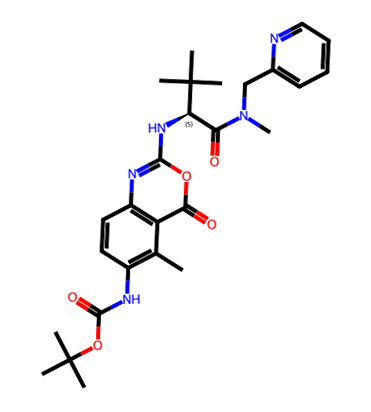 Cc1c(NC(=O)OC(C)(C)C)ccc2nc(N[C@H](C(=O)N(C)Cc3ccccn3)C(C)(C)C)oc(=O)c12